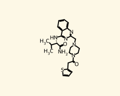 CC(C)[C@H](Nc1nc(CN2CCN(C(=O)Cc3cccs3)CC2)nc2ccccc12)C(N)=O